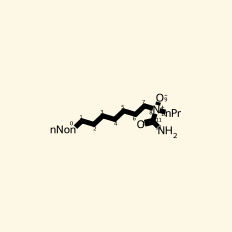 CCCCCCCCCCCCCCCC[N+]([O-])(CCC)C(N)=O